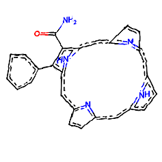 NC(=O)c1c(-c2ccccc2)c2cc3nc(cc4ccc(cc5nc(cc1[nH]2)C=C5)[nH]4)C=C3